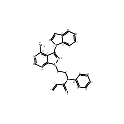 C=CC(=O)N(CCn1nc(-n2ccc3ccccc32)c2c(N)ncnc21)c1ccccc1